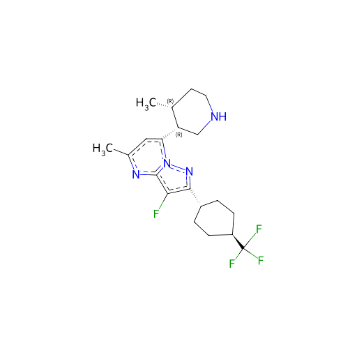 Cc1cc([C@H]2CNCC[C@H]2C)n2nc([C@H]3CC[C@H](C(F)(F)F)CC3)c(F)c2n1